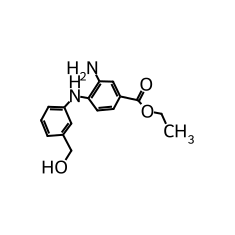 CCOC(=O)c1ccc(Nc2cccc(CO)c2)c(N)c1